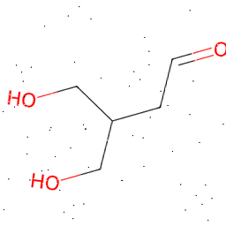 O=CCC(CO)CO